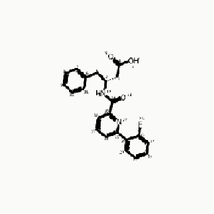 O=C(O)C[C@@H](Cc1ccccc1)NC(=O)c1cccc(-c2ccccc2F)n1